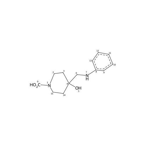 O=C(O)N1CCC(O)(CNc2ccccc2)CC1